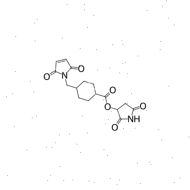 O=C1CC(OC(=O)C2CCC(CN3C(=O)C=CC3=O)CC2)C(=O)N1